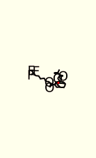 C=C(C)C(=O)OC12CC3CC(C1)CC(C(=O)OCCCCCC(F)(F)F)(C3)C2